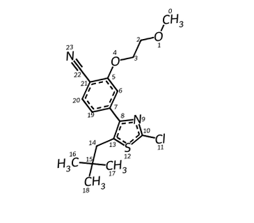 COCCOc1cc(-c2nc(Cl)sc2CC(C)(C)C)ccc1C#N